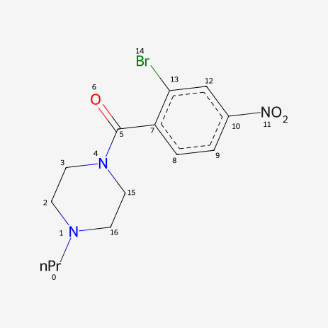 CCCN1CCN(C(=O)c2ccc([N+](=O)[O-])cc2Br)CC1